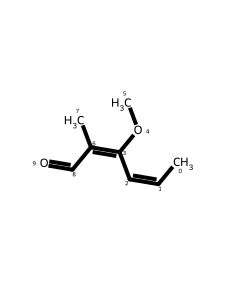 C/C=C\C(OC)=C(\C)C=O